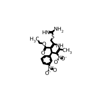 CCOC(=O)C1=C(CSC(=N)N)NC(C)=C([N+](=O)[O-])C1c1cccc([N+](=O)[O-])c1